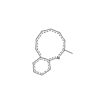 Cc1ccccccc2ccccc2n1